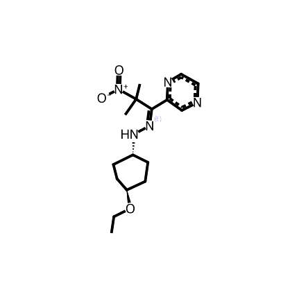 CCO[C@H]1CC[C@H](N/N=C(/c2cnccn2)C(C)(C)[N+](=O)[O-])CC1